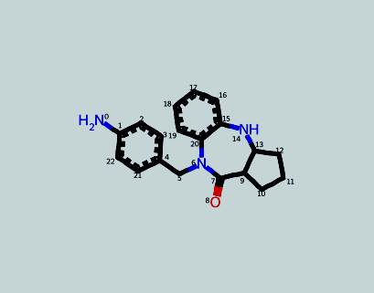 Nc1ccc(CN2C(=O)C3CCCC3Nc3ccccc32)cc1